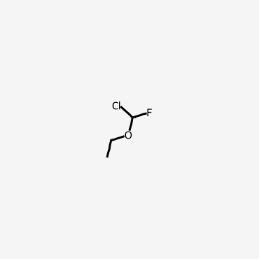 CCO[C](F)Cl